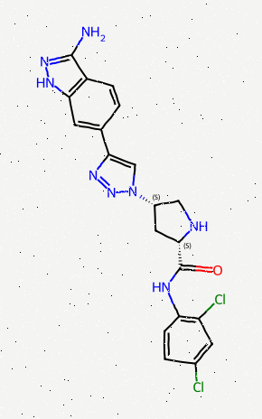 Nc1n[nH]c2cc(-c3cn([C@@H]4CN[C@H](C(=O)Nc5ccc(Cl)cc5Cl)C4)nn3)ccc12